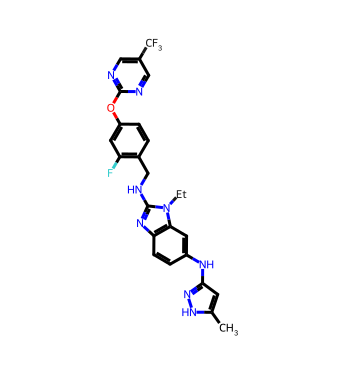 CCn1c(NCc2ccc(Oc3ncc(C(F)(F)F)cn3)cc2F)nc2ccc(Nc3cc(C)[nH]n3)cc21